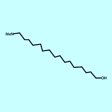 CNCCCCCCCCCCCCCCCCO